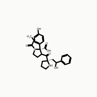 CCC(=O)N1CCC(C(=O)[C@]2(CC(O)c3ccccc3)CCCN2)[C@]1(C(=O)O)c1ccc(O)cc1